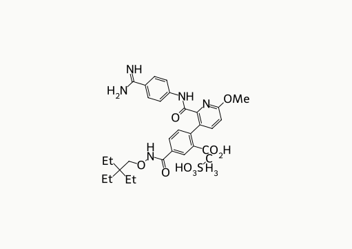 CCC(CC)(CC)CONC(=O)c1ccc(-c2ccc(OC)nc2C(=O)Nc2ccc(C(=N)N)cc2)c(C(=O)O)c1.CS(=O)(=O)O